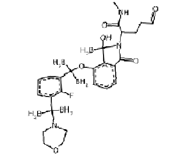 BC(B)(Oc1cccc2c1C(B)(O)N(C(CCC=O)C(=O)NC)C2=O)c1cccc(C(B)(B)N2CCOCC2)c1F